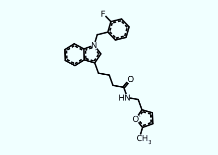 Cc1ccc(CNC(=O)CCCc2cn(Cc3ccccc3F)c3ccccc23)o1